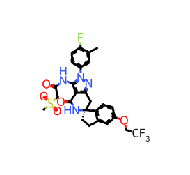 Cc1cc(-n2nc3c(c2NC(=O)CS(C)(=O)=O)C(=O)N[C@@]2(CCc4cc(OCC(F)(F)F)ccc42)C3)ccc1F